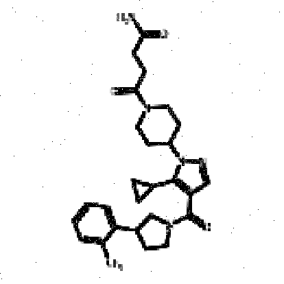 NC(=O)CCC(=O)N1CCC(n2ncc(C(=O)N3CC[C@@H](c4ccccc4C(F)(F)F)C3)c2C2CC2)CC1